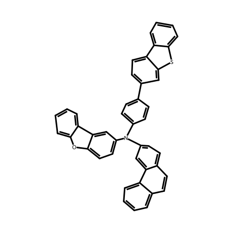 c1ccc2c(c1)ccc1ccc(N(c3ccc(-c4ccc5c(c4)sc4ccccc45)cc3)c3ccc4oc5ccccc5c4c3)cc12